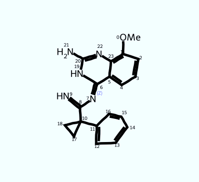 COc1cccc2/c(=N/C(=N)C3(c4ccccc4)CC3)[nH]c(N)nc12